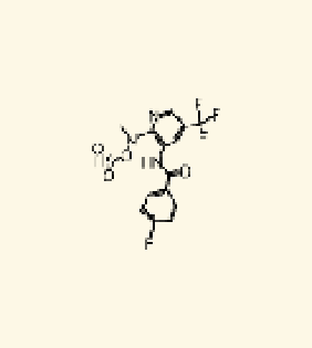 CN(O[SH](=O)=O)c1ncc(C(F)(F)F)cc1NC(=O)c1ccc(F)cc1